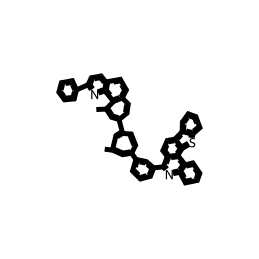 CC1=C=C(c2cccc(-c3nc4ccccc4c4c3ccc3c5ccccc5sc34)c2)C=CC(C2=C=C(C)c3c(ccc4ccc(-c5ccccc5)nc34)C=C2)=C1